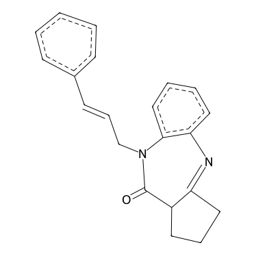 O=C1C2CCCC2=Nc2ccccc2N1CC=Cc1ccccc1